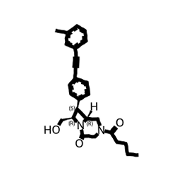 CCCCC(=O)N1CC(=O)N2[C@@H](CO)[C@@H](c3ccc(C#Cc4cccc(C)c4)cc3)[C@@H]2C1